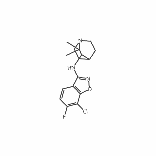 CC1(C)C(Nc2noc3c(Cl)c(F)ccc23)C2CCN1CC2